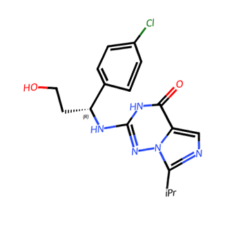 CC(C)c1ncc2c(=O)[nH]c(N[C@H](CCO)c3ccc(Cl)cc3)nn12